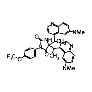 CNc1ccc2nccc(C(C)C3(C(C)c4ccnc5ccc(NC)cc45)NC(=O)N(c4ccc(OC(F)(F)F)cc4)C3=O)c2c1